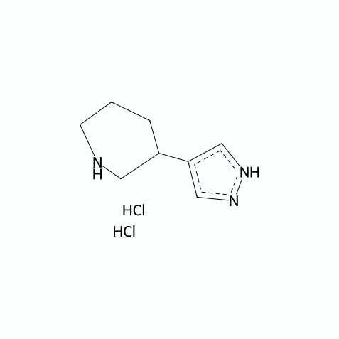 Cl.Cl.c1n[nH]cc1C1CCCNC1